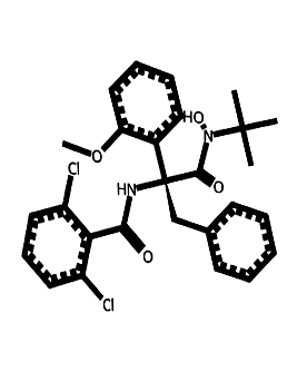 COc1ccccc1[C@@](Cc1ccccc1)(NC(=O)c1c(Cl)cccc1Cl)C(=O)N(O)C(C)(C)C